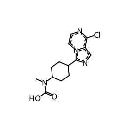 CN(C(=O)O)C1CCC(c2ncc3c(Cl)nccn23)CC1